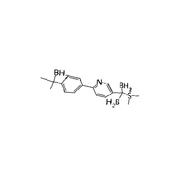 BC(C)(C)c1ccc(-c2ccc(C(B)(B)S(C)(C)C)cn2)cc1